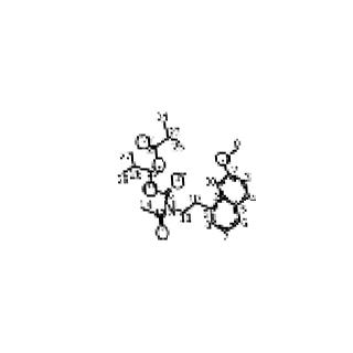 COc1ccc2cccc(CCN(C(C)=O)C(=O)OC(OC(=O)C(C)C)C(C)C)c2c1